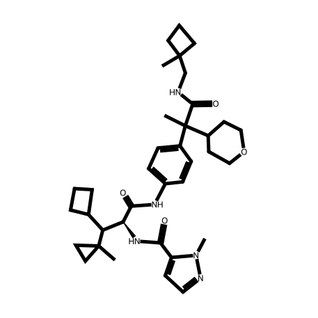 Cn1nccc1C(=O)N[C@H](C(=O)Nc1ccc(C(C)(C(=O)NCC2(C)CCC2)C2CCOCC2)cc1)C(C1CCC1)C1(C)CC1